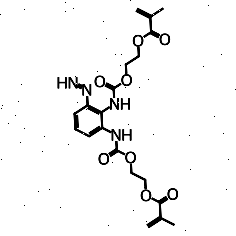 C=C(C)C(=O)OCCOC(=O)Nc1cccc(N=N)c1NC(=O)OCCOC(=O)C(=C)C